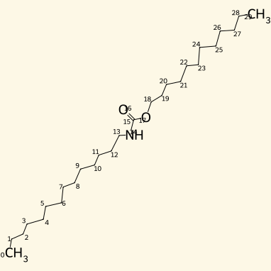 CCCCCCCCCCCCCCNC(=O)OCCCCCCCCCCCC